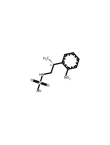 CCCS(=O)(=O)NC[C@H](C)c1ccccc1[N+](=O)[O-]